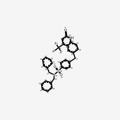 O=c1cc(C(F)(F)F)c2cc(Cc3ccc(S(=O)(=O)N(Cc4ccccc4)Cc4ccccc4)cc3)ccc2[nH]1